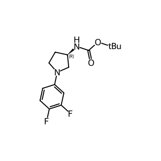 CC(C)(C)OC(=O)N[C@@H]1CCN(c2ccc(F)c(F)c2)C1